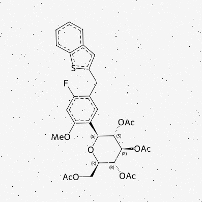 COc1cc(F)c(Cc2cc3ccccc3s2)cc1[C@@H]1O[C@H](COC(C)=O)[C@@H](OC(C)=O)[C@H](OC(C)=O)[C@H]1OC(C)=O